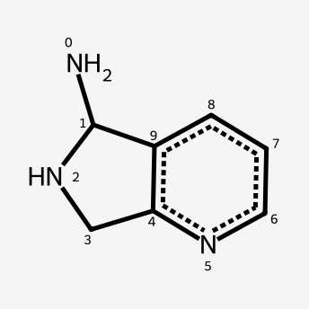 NC1NCc2ncccc21